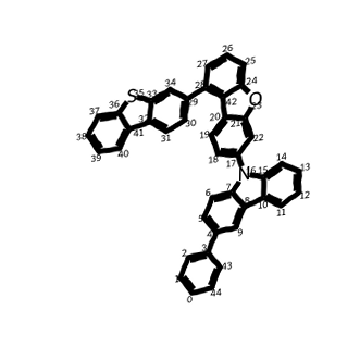 c1ccc(-c2ccc3c(c2)c2ccccc2n3-c2ccc3c(c2)oc2cccc(-c4ccc5c(c4)sc4ccccc45)c23)cc1